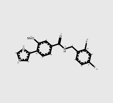 COc1cc(C(=O)NCc2ccc(F)cc2F)ccc1-c1cnco1